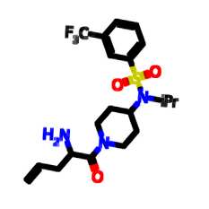 C=CCC(N)C(=O)N1CCC(N(C(C)C)S(=O)(=O)c2cccc(C(F)(F)F)c2)CC1